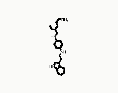 C=C/C(=C\C=C/N)CNc1ccc(NCCc2c[nH]c3ccccc23)cc1